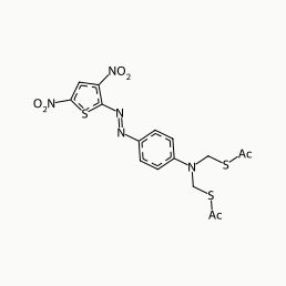 CC(=O)SCN(CSC(C)=O)c1ccc(N=Nc2sc([N+](=O)[O-])cc2[N+](=O)[O-])cc1